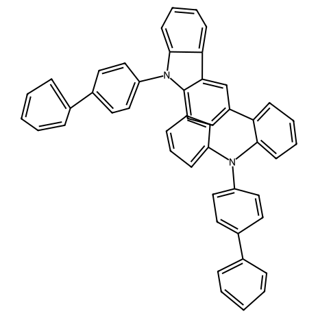 c1ccc(-c2ccc(N(c3ccccc3)c3ccccc3-c3ccc4c(c3)c3ccccc3n4-c3ccc(-c4ccccc4)cc3)cc2)cc1